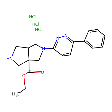 CCOC(=O)C12CNCC1CN(c1ccc(-c3ccccc3)nn1)C2.Cl.Cl.Cl